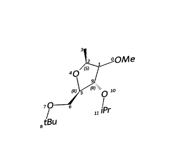 COC1[C@H](C)O[C@H](COC(C)(C)C)[C@H]1OC(C)C